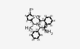 C[C@H](c1ccc(F)s1)N(C(=O)c1ccccc1)[C@@H](C(N)=O)c1ccccc1